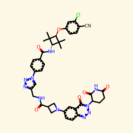 CC1(C)[C@H](NC(=O)c2ccc(-n3cc(CNC(=O)C4CN(c5ccc6nnn(C7CCC(=O)NC7=O)c(=O)c6c5)C4)nn3)cc2)C(C)(C)[C@H]1Oc1ccc(C#N)c(Cl)c1